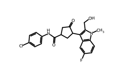 Cn1c(CO)c(C2CC(C(=O)Nc3ccc(Cl)cc3)CC2=O)c2cc(F)ccc21